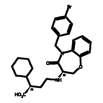 O=C(O)[C@@H](CCN[C@H]1COc2ccccc2N(Cc2ccc(Br)cc2)C1=O)C1CCCCC1